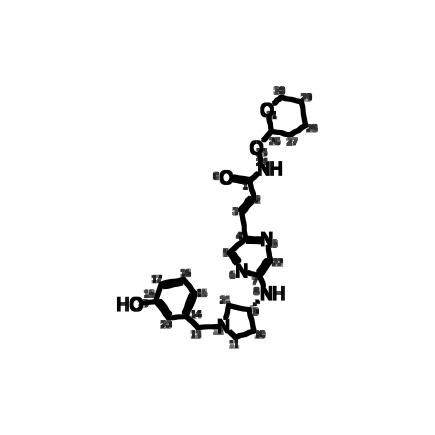 O=C(/C=C/c1cnc(N[C@@H]2CCN(Cc3cccc(O)c3)C2)cn1)NOC1CCCCO1